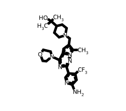 Cc1c(CN2CCC(C(C)(C)O)CC2)cc2c(N3CCOCC3)nc(-c3cnc(N)cc3C(F)(F)F)nn12